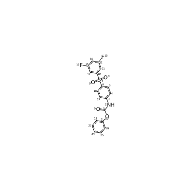 O=C(Nc1ccc(S(=O)(=O)c2cc(F)cc(F)c2)cc1)Oc1ccccc1